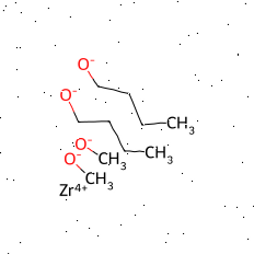 CCCC[O-].CCCC[O-].C[O-].C[O-].[Zr+4]